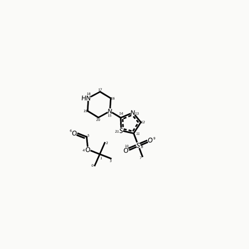 CC(C)(C)OC=O.CS(=O)(=O)c1cnc(N2CCNCC2)s1